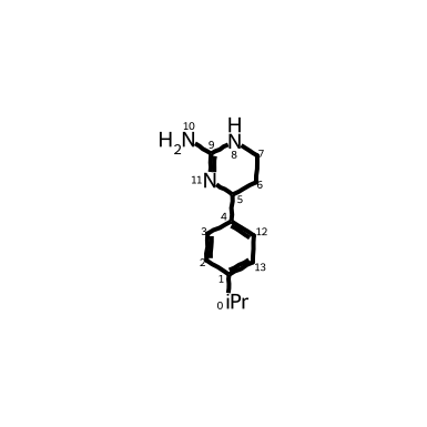 CC(C)c1ccc(C2CCNC(N)=N2)cc1